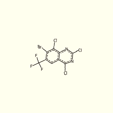 FC(F)(F)c1cc2c(Cl)nc(Cl)nc2c(Cl)c1Br